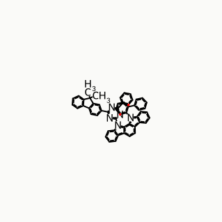 CC1(C)c2ccccc2-c2ccc(-c3nc(-c4ccccc4)nc(-n4c5ccccc5c5ccc6c7ccccc7n(-c7ccccc7-c7ccccc7)c6c54)n3)cc21